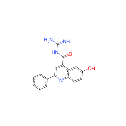 N=C(N)NC(=O)c1cc(-c2ccccc2)nc2ccc(O)cc12